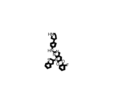 O=c1c(Oc2ccccc2F)cc2cnc(Nc3ccc(C4CCCNC4)cc3)nc2n1C1CSc2ccccc2C1